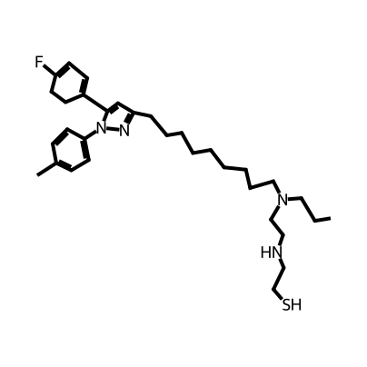 CCCN(CCCCCCCCCc1cc(C2=CC=C(F)CC2)n(-c2ccc(C)cc2)n1)CCNCCS